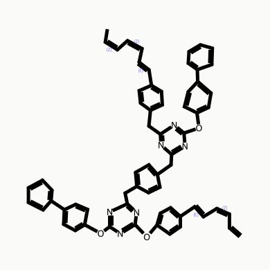 C=C/C=C\C=C\c1ccc(Oc2nc(Cc3ccc(Cc4nc(Cc5ccc(/C=C/C=C\C=C/C)cc5)nc(Oc5ccc(-c6ccccc6)cc5)n4)cc3)nc(Oc3ccc(-c4ccccc4)cc3)n2)cc1